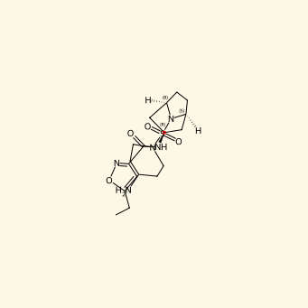 CCc1cc(C(=O)N[C@H]2C[C@H]3CC[C@@H](C2)N3S(=O)(=O)N2CCC(N)CC2)no1